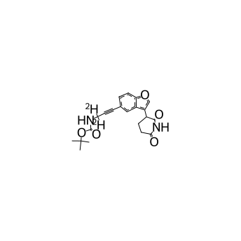 [2H]C([2H])(C#Cc1ccc2occ(C3CCC(=O)NC3=O)c2c1)NC(=O)OC(C)(C)C